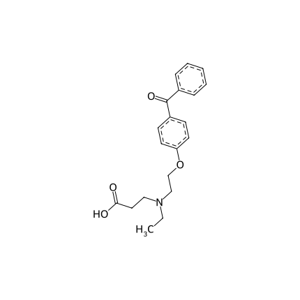 CCN(CCOc1ccc(C(=O)c2ccccc2)cc1)CCC(=O)O